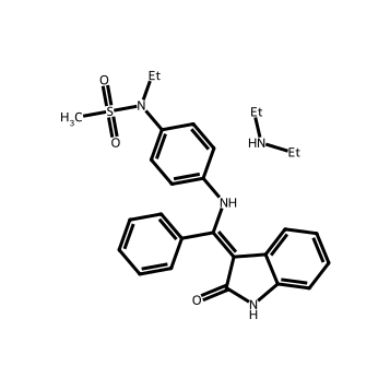 CCN(c1ccc(NC(=C2C(=O)Nc3ccccc32)c2ccccc2)cc1)S(C)(=O)=O.CCNCC